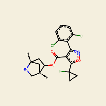 O=C(O[C@@H]1C[C@@H]2C[C@H]1CN2)c1c(-c2c(Cl)cccc2Cl)noc1C1(F)CC1